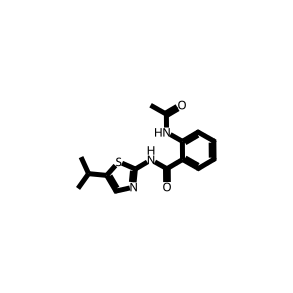 CC(=O)Nc1ccccc1C(=O)Nc1ncc(C(C)C)s1